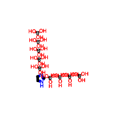 C1=NCCN1.OB(O)O.OB(O)O.OB(O)O.OB(O)O.OB(O)O.OB(O)O.OB(O)O.OB(O)O.OB(O)O